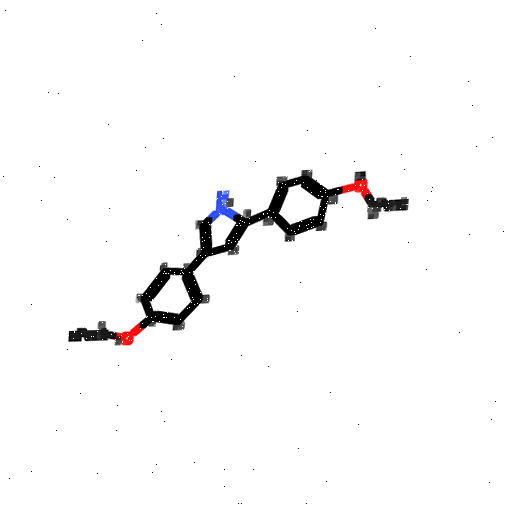 CCCCCOc1ccc(-c2c[nH]c(-c3ccc(OCCCCC)cc3)c2)cc1